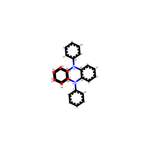 c1ccc(N(c2ccccc2)c2ccccc2N(c2ccccc2)c2ccccc2)cc1